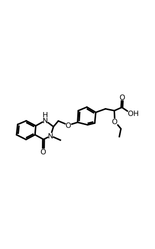 CCOC(Cc1ccc(OCC2Nc3ccccc3C(=O)N2C)cc1)C(=O)O